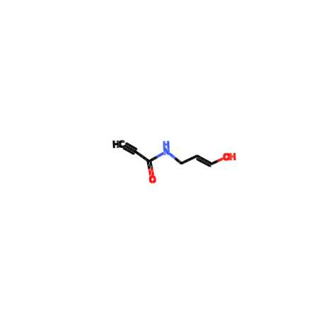 C#CC(=O)NCC=CO